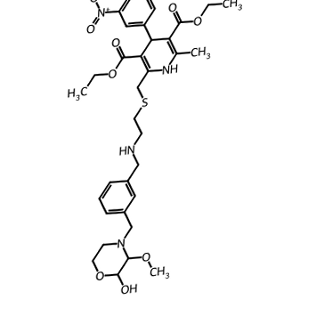 CCOC(=O)C1=C(C)NC(CSCCNCc2cccc(CN3CCOC(O)C3OC)c2)=C(C(=O)OCC)C1c1cccc([N+](=O)[O-])c1